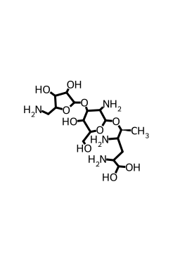 C[C@H](OC1OC(CO)C(O)C(OC2OC(CN)C(O)C2O)C1N)C(N)CC(N)C(O)O